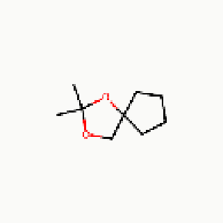 CC1(C)OCC2(CCCC2)O1